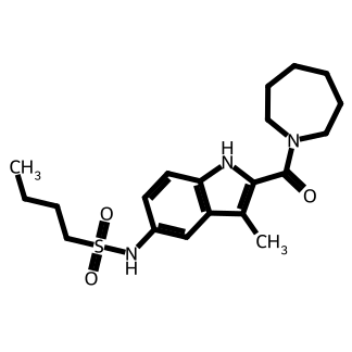 CCCCS(=O)(=O)Nc1ccc2[nH]c(C(=O)N3CCCCCC3)c(C)c2c1